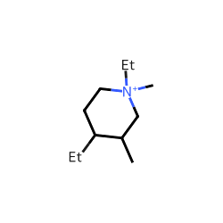 CCC1CC[N+](C)(CC)CC1C